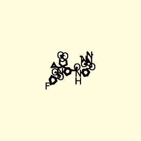 CN(C)C(=NS(=O)(=O)c1cccc(NC(=O)c2ccc3c(c2)C2(CCS(=O)(=O)CC2)C(C2CC2)N3S(=O)(=O)c2ccc(F)cc2)c1)N(C)C